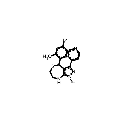 CCn1nc(-c2ccncn2)c2c1NCCSC2c1ccc(Br)cc1C